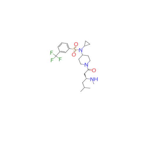 CN[C@H](CC(=O)N1CCC(N(C2CC2)S(=O)(=O)c2cccc(C(F)(F)F)c2)CC1)CC(C)C